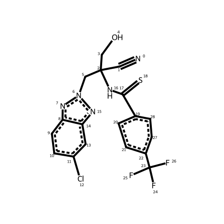 N#CC(CO)(Cn1nc2ccc(Cl)cc2n1)NC(=S)c1ccc(C(F)(F)F)cc1